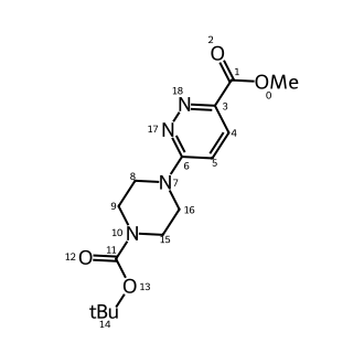 COC(=O)c1ccc(N2CCN(C(=O)OC(C)(C)C)CC2)nn1